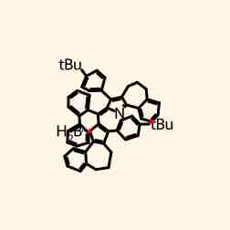 B[C@@H]1C(/C(=C2\N=C3C(=C2c2ccc(C(C)(C)C)cc2)CCCc2ccccc23)c2ccccc2-c2ccccc2)=C(c2ccc(C(C)(C)C)cc2)C2=C1c1ccccc1CCC2